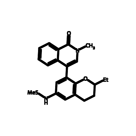 CCC1CCc2cc(NSC)cc(-c3cn(C)c(=O)c4ccccc34)c2O1